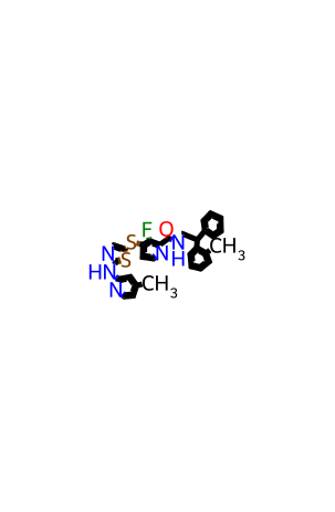 Cc1ccnc(Nc2ncc(Sc3ccnc(C(=O)NCC(c4ccccc4)c4ccccc4C)c3F)s2)c1